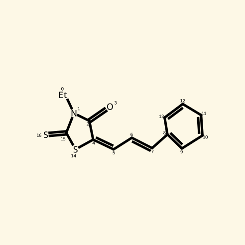 CCN1C(=O)/C(=C\C=C\c2ccccc2)SC1=S